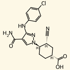 N#C[C@@H]1C[C@H](C(=O)O)CC[C@H]1n1cc(C(N)=O)c(Nc2ccc(Cl)cc2)n1